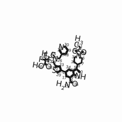 CCS(=O)(=O)N1CCC(c2c[nH]c3c(C(N)=O)cc(-c4csc(CN(C)Cc5cccnc5)c4)cc23)CC1.O=C(O)C(F)(F)F